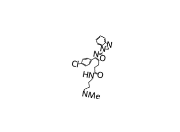 CNCCCCNC(=O)CCc1oc(-n2cnc3ccccc32)nc1-c1ccc(Cl)cc1